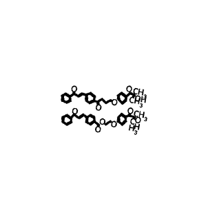 CC(C)(O)C(=O)c1ccc(OCCCC(=O)c2ccc(/C=C/C(=O)c3ccccc3)cc2)cc1.CC(C)(O)C(=O)c1ccc(OCCOC(=O)c2ccc(/C=C/C(=O)c3ccccc3)cc2)cc1